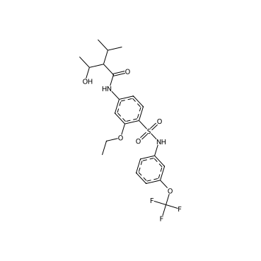 CCOc1cc(NC(=O)C(C(C)C)C(C)O)ccc1S(=O)(=O)Nc1cccc(OC(F)(F)F)c1